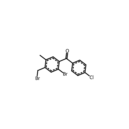 Cc1cc(C(=O)c2ccc(Cl)cc2)c(Br)cc1CBr